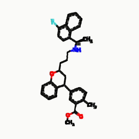 COC(=O)c1cc(C2CC(CCCN[C@H](C)c3ccc(F)c4ccccc34)Oc3ccccc32)ccc1C